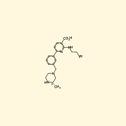 CC(C)CCNc1nc(-c2cccc(CN3CCN[C@@H](C)C3)c2)ccc1C(=O)O